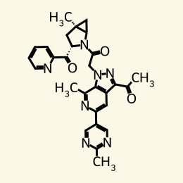 CC(=O)c1nn(CC(=O)N2C3C[C@]3(C)C[C@H]2C(=O)c2ccccn2)c2c(C)nc(-c3cnc(C)nc3)cc12